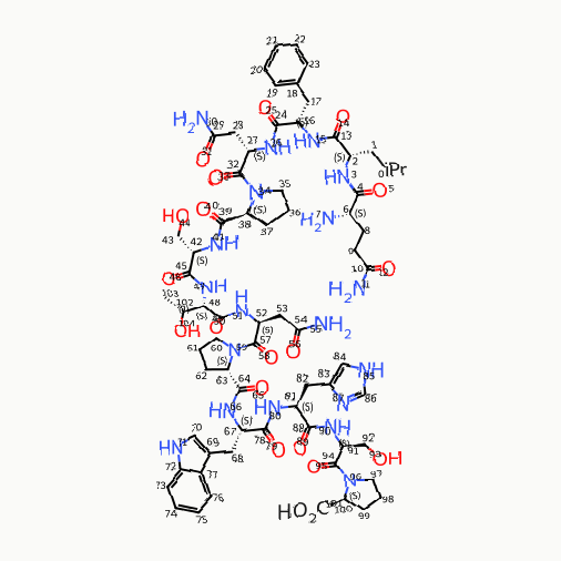 CC(C)C[C@H](NC(=O)[C@@H](N)CCC(N)=O)C(=O)N[C@@H](Cc1ccccc1)C(=O)N[C@@H](CC(N)=O)C(=O)N1CCC[C@H]1C(=O)N[C@@H](CO)C(=O)N[C@H](C(=O)N[C@@H](CC(N)=O)C(=O)N1CCC[C@H]1C(=O)N[C@@H](Cc1c[nH]c2ccccc12)C(=O)N[C@@H](Cc1c[nH]cn1)C(=O)N[C@@H](CO)C(=O)N1CCC[C@H]1C(=O)O)[C@@H](C)O